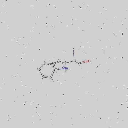 O=CC(I)c1cc2ccccc2[nH]1